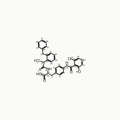 CN(C(=S)N[C@@H](Cc1ccc(NC(=O)c2c(Cl)cncc2Cl)cc1)C(=O)O)c1ccccc1Cc1ccccc1